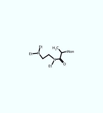 CCCCCCCCCC(C)C(=O)N(CC)CCN(CC)CC